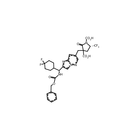 O=C(N[C@H](c1cn2ncc(CC3(C(=O)O)C[C@@H](C(F)(F)F)N(C(=O)O)C3=O)cc2n1)C1CCC(F)(F)CC1)OCc1ccccc1